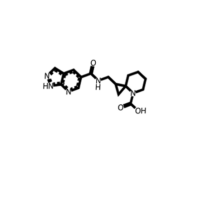 O=C(NCC1CC12CCCCN2C(=O)O)c1cnc2[nH]ncc2c1